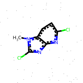 Cn1c(Cl)nc2nc(Cl)ccc21